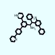 Nc1ccc(-c2ccccc2)cc1C(c1ccccc1)[C@@H](N)c1cc(C2=CC=CNC2)cc(-c2ccc(-c3ccccn3)cc2)c1